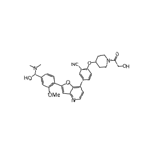 COc1cc(C(O)N(C)C)ccc1-c1cc2nccc(-c3ccc(OC4CCN(C(=O)CO)CC4)c(C#N)c3)c2o1